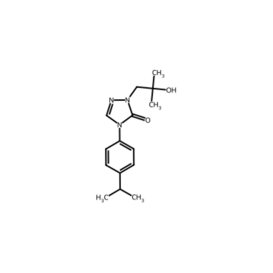 CC(C)c1ccc(-n2cnn(CC(C)(C)O)c2=O)cc1